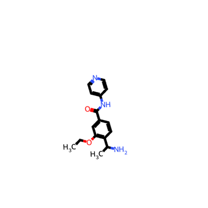 CCOc1cc(C(=O)Nc2ccncc2)ccc1C(C)N